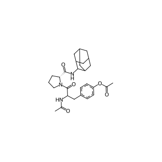 CC(=O)NC(Cc1ccc(OC(C)=O)cc1)C(=O)N1CCC[C@@H]1C(=O)NC1C2CC3CC(C2)CC1C3